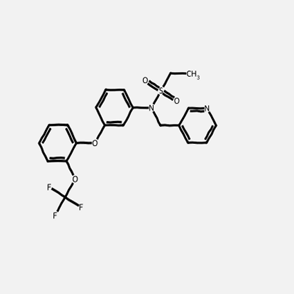 CCS(=O)(=O)N(Cc1cccnc1)c1cccc(Oc2ccccc2OC(F)(F)F)c1